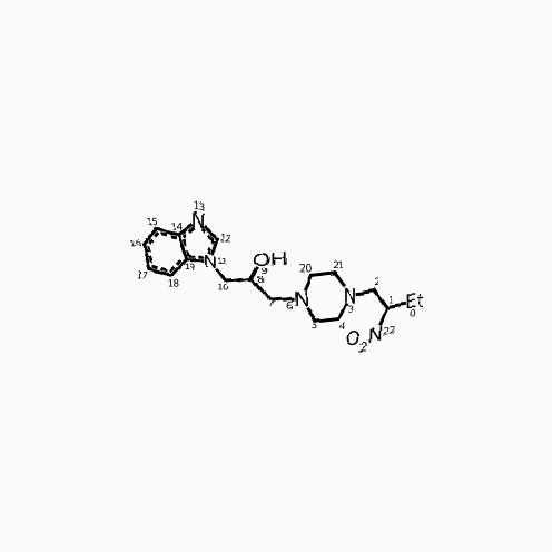 CCC(CN1CCN(CC(O)Cn2cnc3ccccc32)CC1)[N+](=O)[O-]